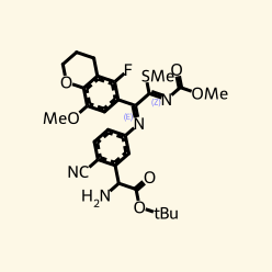 COC(=O)/N=C(SC)/C(=N/c1ccc(C#N)c(C(N)C(=O)OC(C)(C)C)c1)c1cc(OC)c2c(c1F)CCCO2